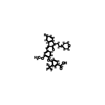 COc1cc(C=C2C(=O)N(CCN3CCOCC3)c3ccc(F)cc32)ccc1Oc1ccc(C(=O)O)cc1C(F)(F)F